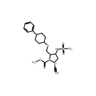 C#C[C@@H]1CC(NS(C)(=O)=O)C(COC2CCC(c3ccccc3)CC2)N1C(=O)OC